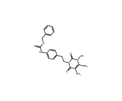 CCCn1c(N)c(N)c(=O)n(CCc2ccc(NC(=O)OCc3ccccc3)cc2)c1=O